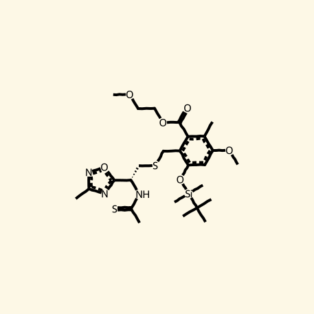 COCCOC(=O)c1c(C)c(OC)cc(O[Si](C)(C)C(C)(C)C)c1CSC[C@H](NC(C)=S)c1nc(C)no1